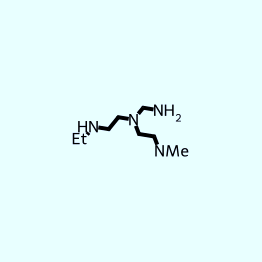 CCNCCN(CN)CCNC